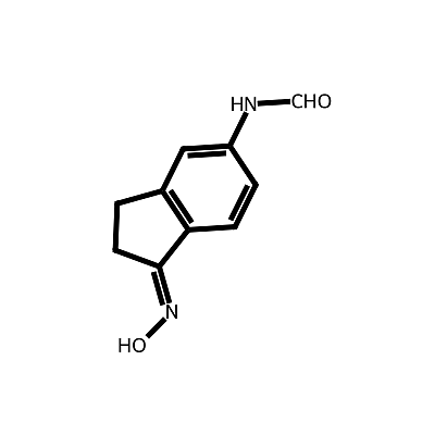 O=CNc1ccc2c(c1)CC/C2=N\O